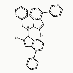 CCC1=Cc2c(-c3ccccc3)cccc2C1[SiH](Cc1ccccc1)C1C(CC)=Cc2c(-c3ccccc3)cccc21